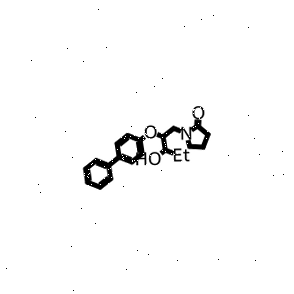 CCC(O)C(CN1CCCC1=O)Oc1ccc(-c2ccccc2)cc1